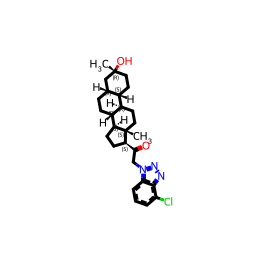 C[C@@]1(O)CC[C@H]2[C@H](CC[C@@H]3[C@@H]2CC[C@]2(C)[C@@H](C(=O)Cn4nnc5c(Cl)cccc54)CC[C@@H]32)C1